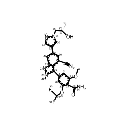 COc1cc(-c2c3c(C#N)cc(-c4cnn(C[C@H](C)O)c4)cc3nn2C)cc(OC(F)F)c1C(N)=O